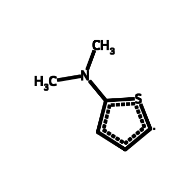 CN(C)c1cc[c]s1